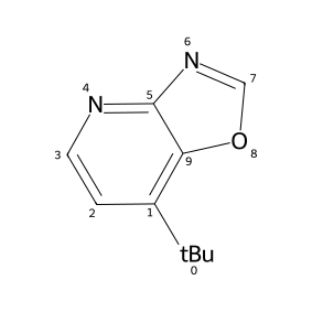 CC(C)(C)c1ccnc2ncoc12